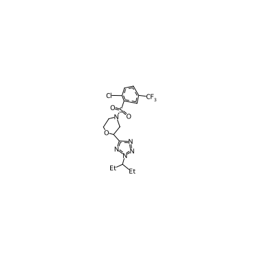 CCC(CC)n1nnc(C2CN(S(=O)(=O)c3cc(C(F)(F)F)ccc3Cl)CCO2)n1